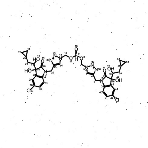 O=C1N(Cc2cn(CO[PH](=O)OCn3cc(CN4C(=O)C(O)(C(O)CC5CC5)c5cc(Cl)ccc54)nn3)nn2)c2ccc(Cl)cc2C1(O)C(O)CC1CC1